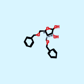 OC1O[C@H](COCc2ccccc2)[C@@H](COCc2ccccc2)[C@H]1O